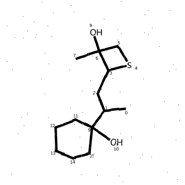 CC(CC1SCC1(C)O)C1(O)CCCCC1